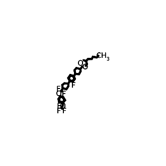 CCCCCC1COC(C2CCC(c3ccc(C4CCC(C(F)(F)Oc5ccc(OC(F)(F)F)cc5)CC4)c(F)c3)CC2)OC1